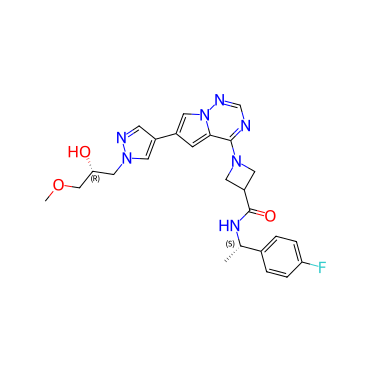 COC[C@H](O)Cn1cc(-c2cc3c(N4CC(C(=O)N[C@@H](C)c5ccc(F)cc5)C4)ncnn3c2)cn1